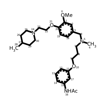 COc1cc(CN(C)CCCOc2cccc(NC(C)=O)c2)ccc1OCCN1CCC(C)CC1